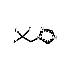 FC(F)(F)Cn1cncn1